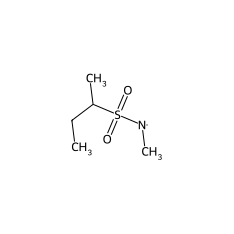 CCC(C)S(=O)(=O)[N]C